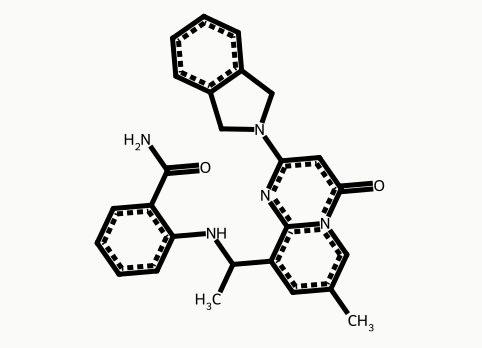 Cc1cc(C(C)Nc2ccccc2C(N)=O)c2nc(N3Cc4ccccc4C3)cc(=O)n2c1